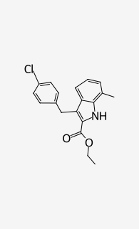 CCOC(=O)c1[nH]c2c(C)cccc2c1Cc1ccc(Cl)cc1